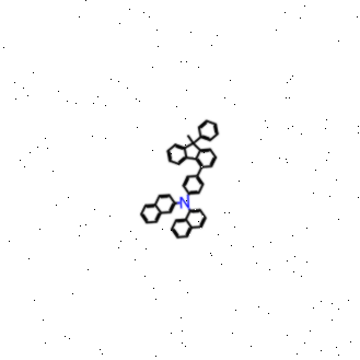 CC1(c2ccccc2)c2ccccc2-c2c(-c3ccc(N(c4ccc5ccccc5c4)c4cccc5ccccc45)cc3)cccc21